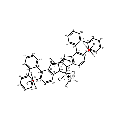 CCC1=Cc2c(ccc(C(C)(C)C)c2-c2ccccc2-c2ccccc2)[CH]1[Zr]([Cl])([Cl])([CH]1C(CC)=Cc2c1ccc(C(C)(C)C)c2-c1ccccc1-c1ccccc1)[SiH](C)C